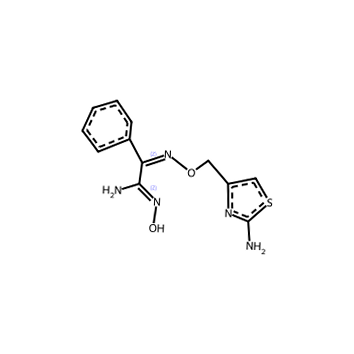 NC(=N\O)/C(=N\OCc1csc(N)n1)c1ccccc1